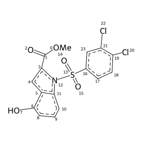 COC(=O)c1cc2c(O)cccc2n1S(=O)(=O)c1ccc(Cl)c(Cl)c1